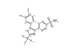 NS(=O)(=O)c1ccc(-c2nc(C(F)(F)F)oc2-c2ccc(F)c(F)c2)cc1